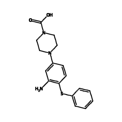 Nc1cc(N2CCN(C(=O)O)CC2)ccc1Sc1ccccc1